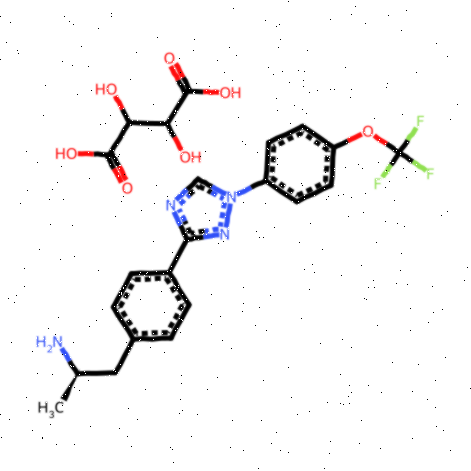 C[C@@H](N)Cc1ccc(-c2ncn(-c3ccc(OC(F)(F)F)cc3)n2)cc1.O=C(O)C(O)C(O)C(=O)O